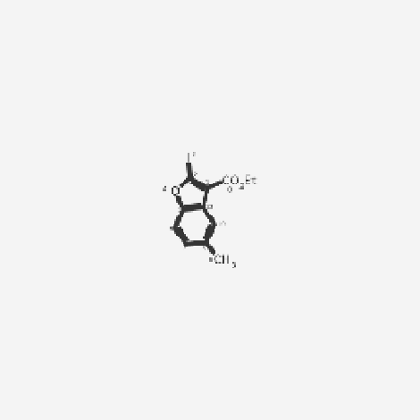 CCOC(=O)c1c(I)oc2ccc(C)cc12